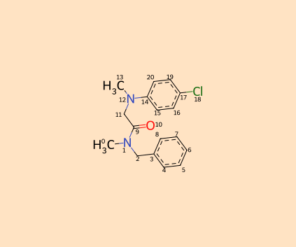 CN(Cc1ccccc1)C(=O)CN(C)c1ccc(Cl)cc1